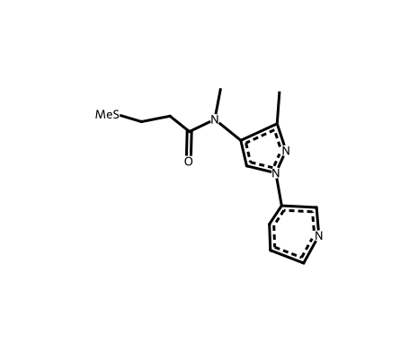 CSCCC(=O)N(C)c1cn(-c2cccnc2)nc1C